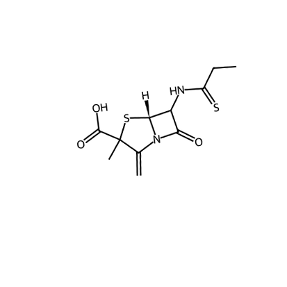 C=C1N2C(=O)C(NC(=S)CC)[C@H]2SC1(C)C(=O)O